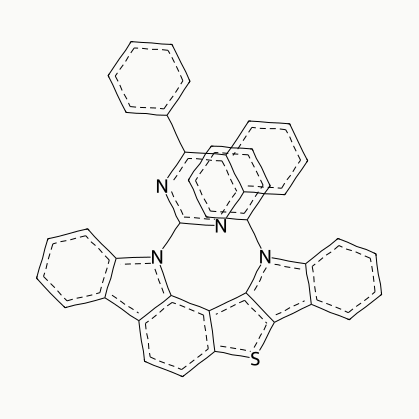 c1ccc(-c2nc(-n3c4ccccc4c4ccc5sc6c7ccccc7n(-c7ccccc7)c6c5c43)nc3ccccc23)cc1